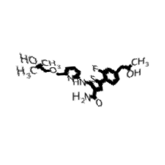 CC(O)Cc1ccc(-c2cc(C(N)=O)c(Nc3cccc(COCC(C)(C)O)n3)s2)c(F)c1